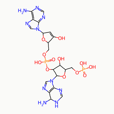 Nc1ncnc2c1ncn2C1C=C(O)C(COP(=O)(O)OC2C(O)C(COP(=O)(O)O)OC2n2cnc3c2N=CNC3N)O1